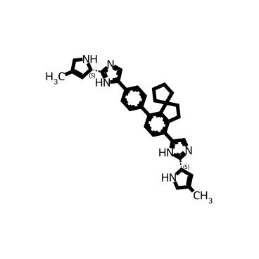 CC1=C[C@@H](c2ncc(-c3ccc(-c4ccc(-c5cnc([C@@H]6C=C(C)CN6)[nH]5)c5c4C4(CCCC4)CC5)cc3)[nH]2)NC1